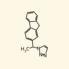 CC(c1ccc2c(c1)Cc1ccccc1-2)n1ccnn1